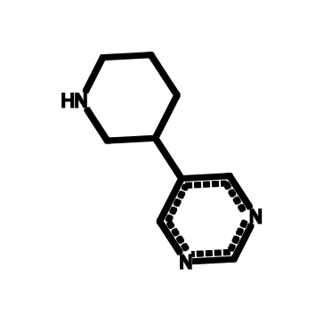 c1ncc(C2CCCNC2)cn1